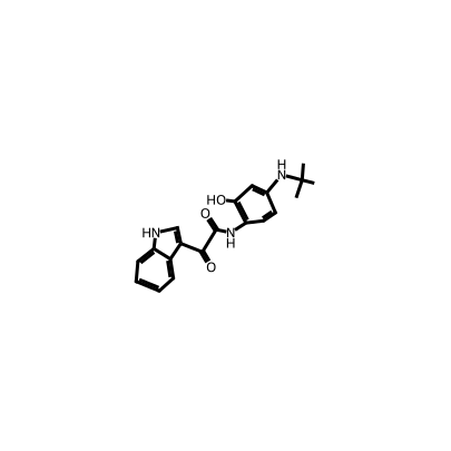 CC(C)(C)Nc1ccc(NC(=O)C(=O)c2c[nH]c3ccccc23)c(O)c1